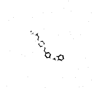 O=C(CCN1CCN(CCc2ccc(Oc3nc4ccccc4s3)cc2)CC1)OS(=O)(=O)C(F)(F)F